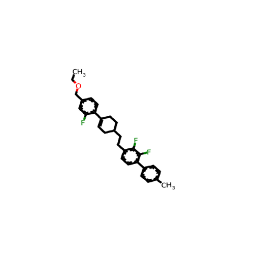 CCOCc1ccc(C2=CCC(CCc3ccc(-c4ccc(C)cc4)c(F)c3F)CC2)c(F)c1